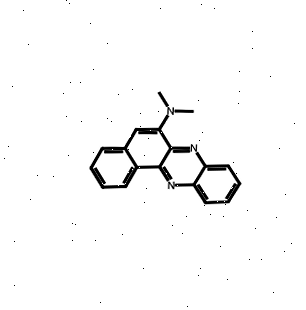 CN(C)c1cc2ccccc2c2nc3ccccc3nc12